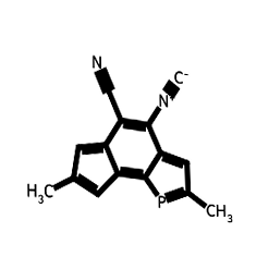 [C-]#[N+]c1c(C#N)c2c(c3c1=CC(C)=P3)C=C(C)C=2